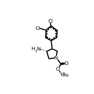 CC(C)(C)OC(=O)N1CC(c2ccc(Cl)c(Cl)c2)[C@@H](N)C1